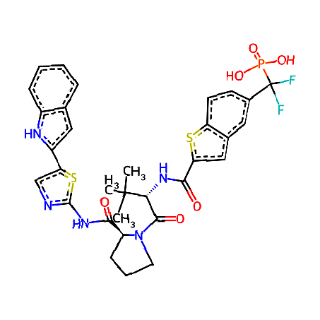 CC(C)(C)[C@H](NC(=O)c1cc2cc(C(F)(F)P(=O)(O)O)ccc2s1)C(=O)N1CCC[C@H]1C(=O)Nc1ncc(-c2cc3ccccc3[nH]2)s1